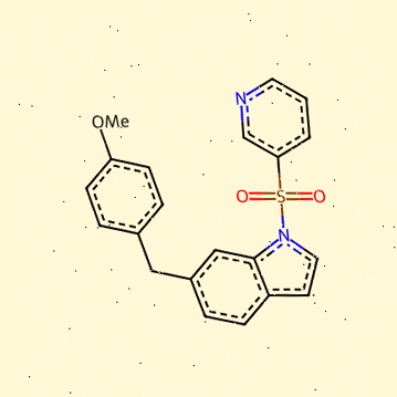 COc1ccc(Cc2ccc3[c]cn(S(=O)(=O)c4cccnc4)c3c2)cc1